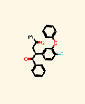 CC(C)C(=O)CC(C(=O)c1ccccc1)c1ccc(F)c(Oc2ccccc2)c1